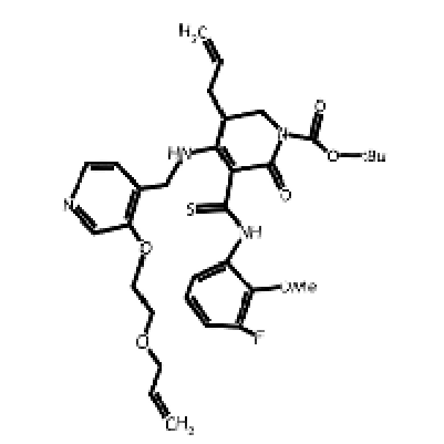 C=CCOCCOc1cnccc1CNC1=C(C(=S)Nc2cccc(F)c2OC)C(=O)N(C(=O)OC(C)(C)C)CC1CC=C